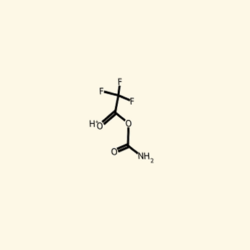 NC(=O)OC(=O)C(F)(F)F.[H+]